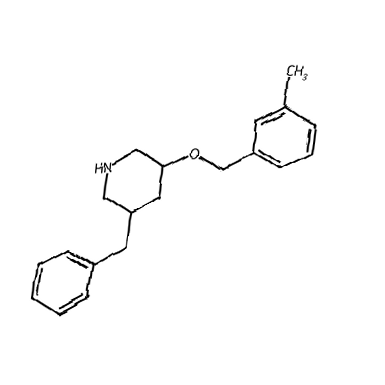 Cc1cccc(COC2CNCC(Cc3ccccc3)C2)c1